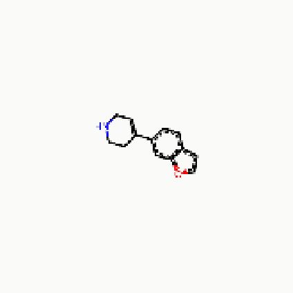 C1=C(c2ccc3ccoc3c2)CCNC1